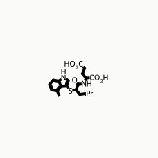 Cc1cccc2[nH]cc(SC(CC(C)C)C(=O)NC(CCC(=O)O)C(=O)O)c12